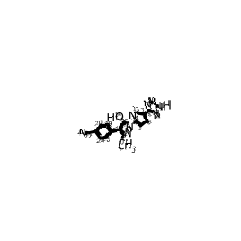 Cc1nn(-c2ccc(-c3nn[nH]n3)cn2)c(O)c1-c1ccc(C#N)cc1